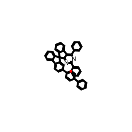 c1ccc(-c2ccc(-c3ccc4c(c3)C3(c5ccccc5-4)c4ccccc4-c4c(-c5ccccc5)nc(-c5ccccc5)nc43)cc2)cc1